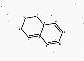 C1=CC2=CCCCC2C=C1